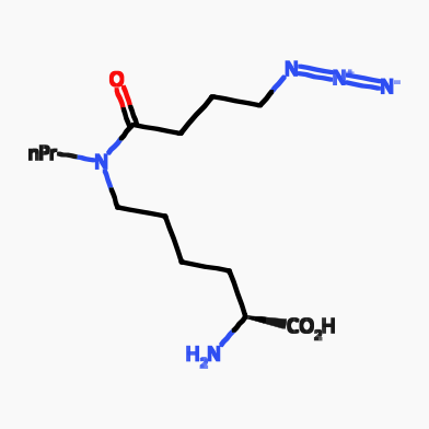 CCCN(CCCC[C@H](N)C(=O)O)C(=O)CCCN=[N+]=[N-]